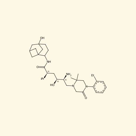 CCc1ccccc1N1CC(C)(C)N(C[C@H](N)[C@@H](O)C[C@H](C(=O)NC2CCC3(O)CC4CC2(C4)C3)C(C)C)CC1=O